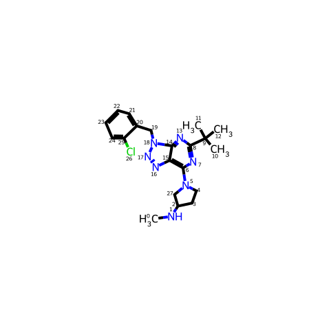 CNC1CCN(c2nc(C(C)(C)C)nc3c2nnn3Cc2ccccc2Cl)C1